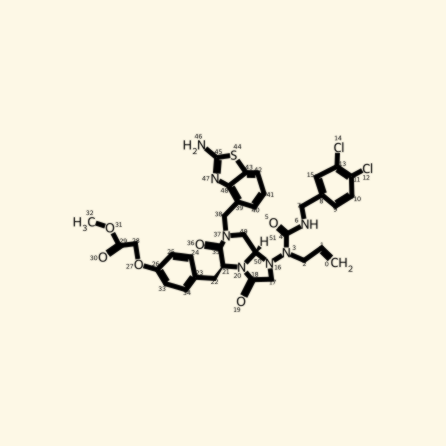 C=CCN(C(=O)NCc1ccc(Cl)c(Cl)c1)N1CC(=O)N2[C@@H](Cc3ccc(OCC(=O)OC)cc3)C(=O)N(Cc3cccc4sc(N)nc34)C[C@@H]21